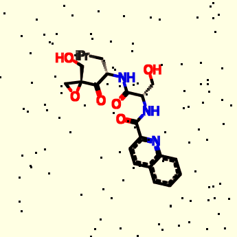 CC(C)C[C@H](NC(=O)[C@H](CO)NC(=O)c1ccc2ccccc2n1)C(=O)[C@@]1(CO)CO1